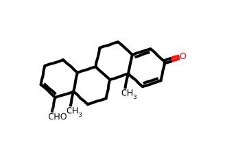 CC12C=CC(=O)C=C1CCC1C2CCC2(C)C(C=O)=CCCC12